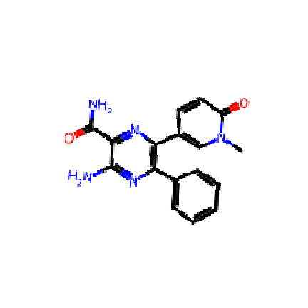 Cn1cc(-c2nc(C(N)=O)c(N)nc2-c2ccccc2)ccc1=O